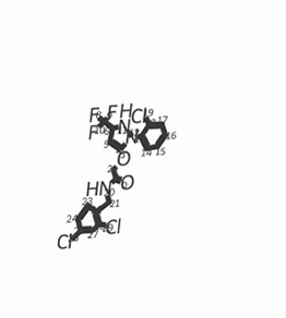 O=C(COC1=CC(C(F)(F)F)NN1c1ccccc1Cl)NCc1ccc(Cl)cc1Cl